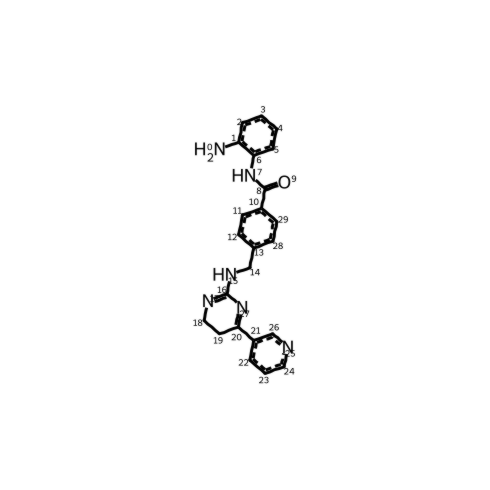 Nc1ccccc1NC(=O)c1ccc(CNC2=NCCC(c3cccnc3)=N2)cc1